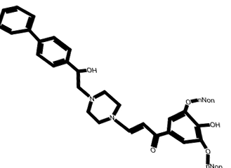 CCCCCCCCCOc1cc(C(=O)C=CN2CCN(CC(O)c3ccc(-c4ccccc4)cc3)CC2)cc(OCCCCCCCCC)c1O